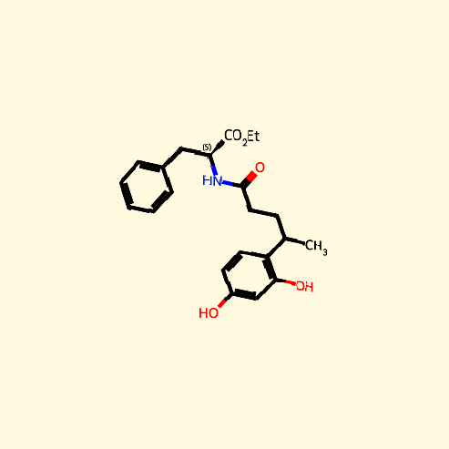 CCOC(=O)[C@H](Cc1ccccc1)NC(=O)CCC(C)c1ccc(O)cc1O